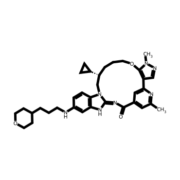 Cc1cc2cc(n1)-c1cnn(C)c1OCCC[C@@H](C1CC1)CN1/C(=N/C2=O)Nc2cc(NCCCC3CCOCC3)ccc21